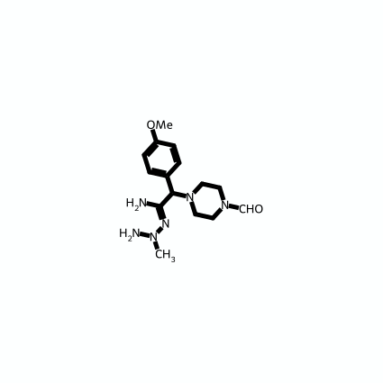 COc1ccc(C(/C(N)=N/N(C)N)N2CCN(C=O)CC2)cc1